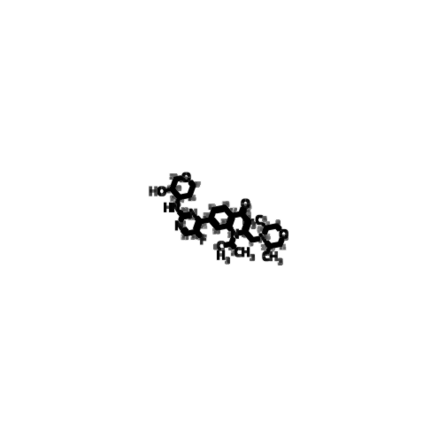 CC(C)n1c(CN2[C@H](C)COC[C@H]2C)cc(=O)c2ccc(-c3nc(N[C@@H]4CCOC[C@H]4O)ncc3F)cc21